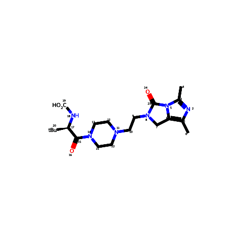 Cc1nc(C)n2c1CN(CCN1CCN(C(=O)[C@H](NC(=O)O)C(C)(C)C)CC1)C2=O